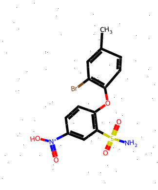 Cc1ccc(Oc2ccc([N+](=O)O)cc2S(N)(=O)=O)c(Br)c1